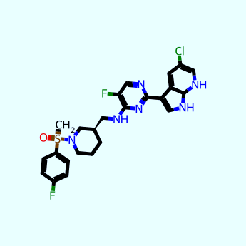 C=S(=O)(c1ccc(F)cc1)N1CCC[C@H](CNc2nc(C3=CNC4NC=C(Cl)C=C34)ncc2F)C1